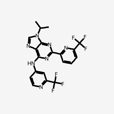 CC(C)n1cnc2c(Nc3ccnc(C(F)(F)F)c3)nc(-c3cccc(C(F)(F)F)n3)nc21